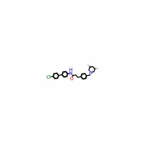 C[C@@H]1C[C@H](C)CN(Cc2ccc(CCC(=O)Nc3ccc(-c4ccc(Cl)cc4)cc3)cc2)C1